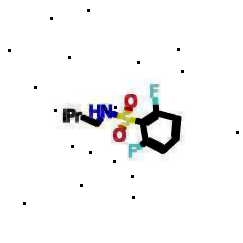 CC(C)CNS(=O)(=O)c1c(F)cccc1F